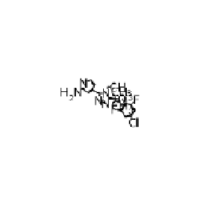 CCn1c(-c2ccnc(N)c2)nnc1C(C)(C)Oc1c(F)cc(Cl)cc1F